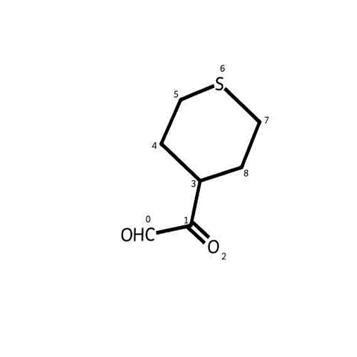 O=CC(=O)C1CCSCC1